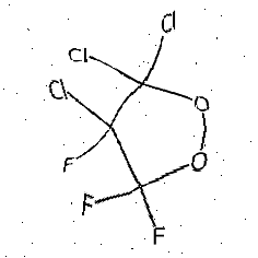 FC1(F)OOC(Cl)(Cl)C1(F)Cl